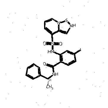 C[C@@H](NC(=O)c1ccc(I)cc1NS(=O)(=O)C1=CC=CN2SNC=C12)c1ccccc1